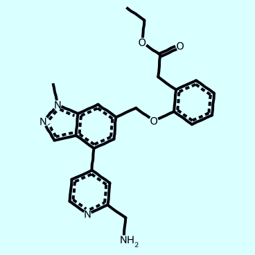 CCOC(=O)Cc1ccccc1OCc1cc(-c2ccnc(CN)c2)c2cnn(C)c2c1